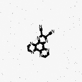 N#Cc1nc2c3nccnc3c3nccnc3c2nc1C#N